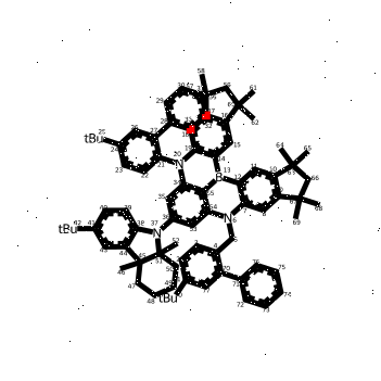 CC(C)(C)c1ccc(CN2c3cc4c(cc3B3c5cc6c(cc5N(c5ccc(C(C)(C)C)cc5-c5ccccc5)c5cc(N7c8ccc(C(C)(C)C)cc8C8(C)CCCCC78C)cc2c53)C(C)(C)CC6(C)C)C(C)(C)CC4(C)C)c(-c2ccccc2)c1